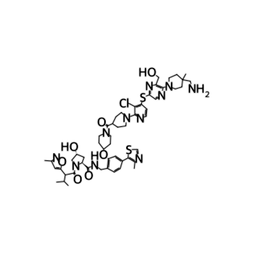 Cc1cc(C(C(=O)N2C[C@H](O)C[C@H]2C(=O)NCc2ccc(-c3scnc3C)cc2OC2CCN(C(=O)C3CCN(c4nccc(Sc5cnc(N6CCC(C)(CN)CC6)c(CO)n5)c4Cl)CC3)CC2)C(C)C)on1